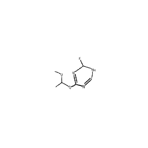 COC(C)OC1=N[C](F)NC=N1